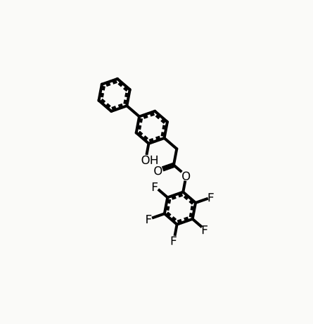 O=C(Cc1ccc(-c2ccccc2)cc1O)Oc1c(F)c(F)c(F)c(F)c1F